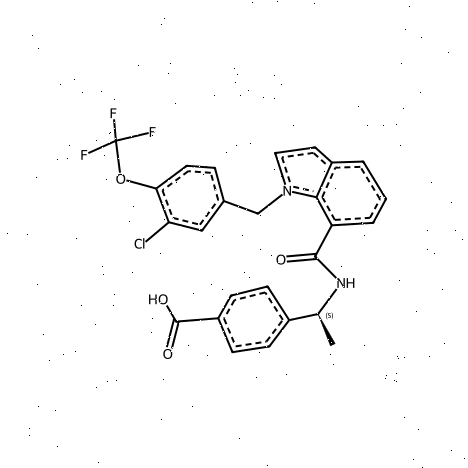 C[C@H](NC(=O)c1cccc2ccn(Cc3ccc(OC(F)(F)F)c(Cl)c3)c12)c1ccc(C(=O)O)cc1